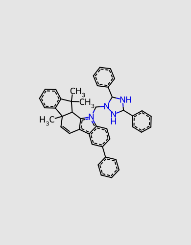 CC1(C)c2ccccc2C2(C)C=Cc3c(n(CN4NC(c5ccccc5)NC4c4ccccc4)c4ccc(-c5ccccc5)cc34)C12